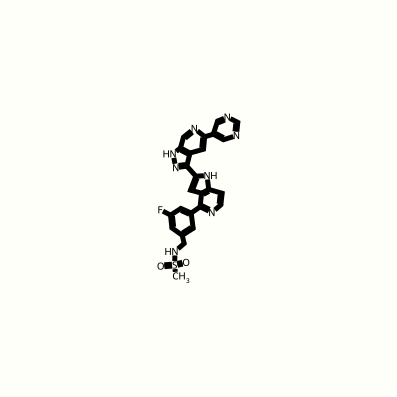 CS(=O)(=O)NCc1cc(F)cc(-c2nccc3[nH]c(-c4n[nH]c5cnc(-c6cncnc6)cc45)cc23)c1